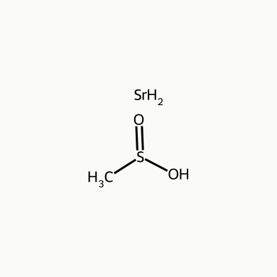 CS(=O)O.[SrH2]